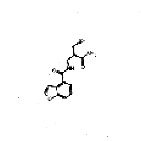 CC(C)CC(CNC(=O)c1cccc2occc12)C(N)=O